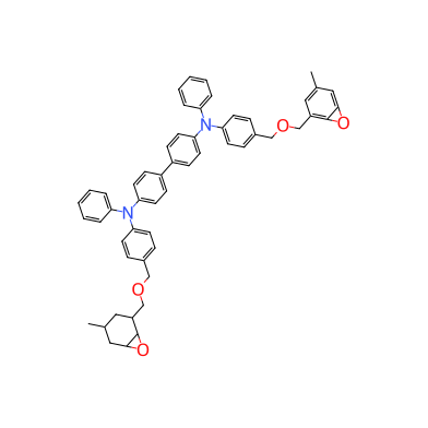 Cc1cc(COCc2ccc(N(c3ccccc3)c3ccc(-c4ccc(N(c5ccccc5)c5ccc(COCC6CC(C)CC7OC67)cc5)cc4)cc3)cc2)c2c(c1)O2